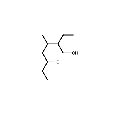 CCC(O)CC(C)C(CC)CO